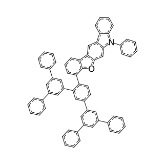 c1ccc(-c2cc(-c3ccccc3)cc(-c3ccc(-c4cccc5c4oc4cc6c(cc45)c4ccccc4n6-c4ccccc4)c(-c4cc(-c5ccccc5)cc(-c5ccccc5)c4)c3)c2)cc1